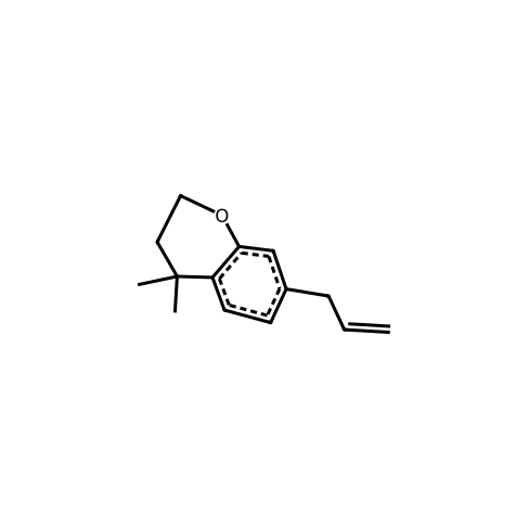 C=CCc1ccc2c(c1)OCCC2(C)C